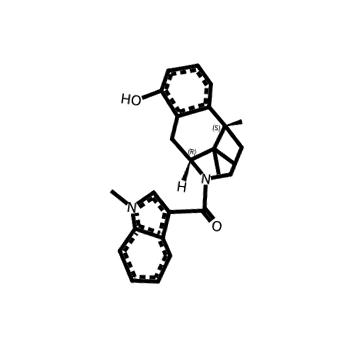 Cn1cc(C(=O)N2CC[C@@]3(C)c4cccc(O)c4C[C@@H]2C3(C)C)c2ccccc21